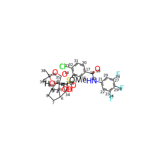 COC(=O)C1([C@@]2(O)C3CC[C@H]2C[C@H](S(=O)(=O)c2cc(C(=O)Nc4cc(F)c(F)c(F)c4)ccc2Cl)C3)COC(C)(C)O1